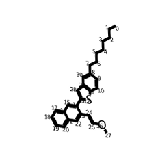 CCCCCCCCc1ccc2sc(-c3cc4ccccc4cc3C=COC)cc2c1